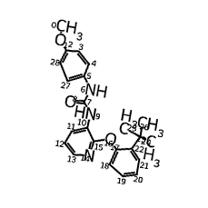 COc1ccc(NC(=O)Nc2cccnc2Oc2ccccc2C(C)(C)C)cc1